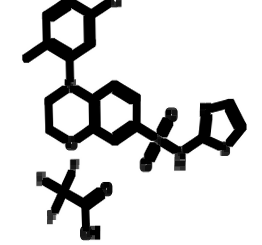 Cc1ccc(Cl)cc1N1CCOc2cc(S(=O)(=O)Nc3nccs3)ccc21.O=C(O)C(F)(F)F